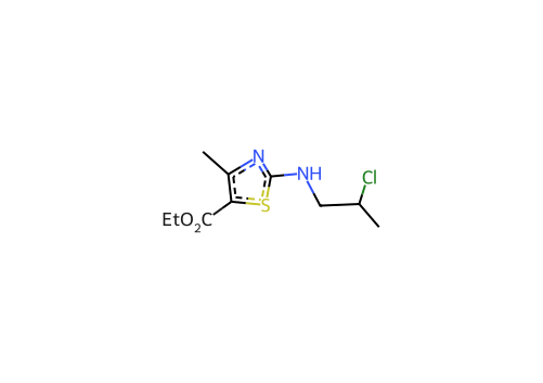 CCOC(=O)c1sc(NCC(C)Cl)nc1C